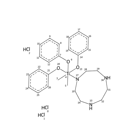 Cl.Cl.Cl.[CH3][Ti]([CH3])([O]c1ccccc1)([O]c1ccccc1)([O]c1ccccc1)[N]1CCNCCNCC1